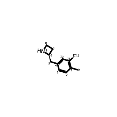 Cc1ccc(C[C@@H]2CCN2)cc1F